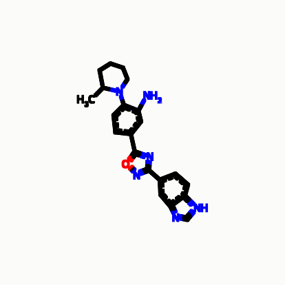 CC1CCCCN1c1ccc(-c2nc(-c3ccc4[nH]cnc4c3)no2)cc1N